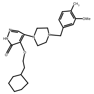 COc1cc(CN2CCN(c3cn[nH]c(=O)c3OCCC3CCCCC3)CC2)ccc1C